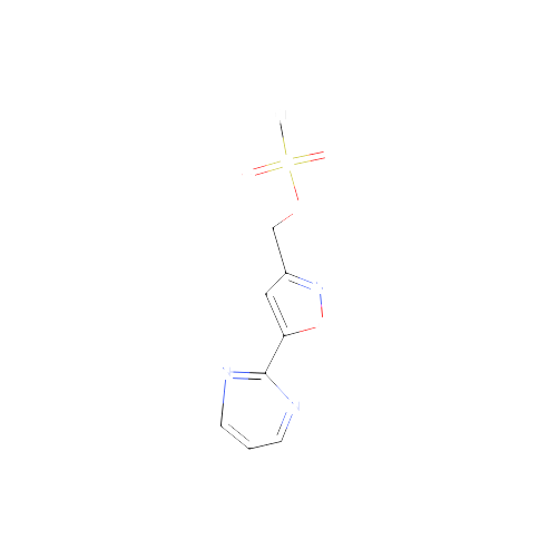 CS(=O)(=O)OCc1cc(-c2ncccn2)on1